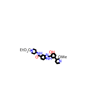 CCOC(=O)N1CCC(NC(=O)c2ccc3[nH]c(-c4cc(-c5cccnc5OC)ccc4O)nc3c2)CC1